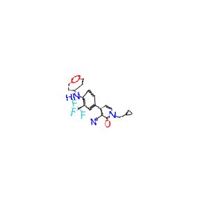 N#Cc1c(-c2ccc(NC3CCOCC3)c(C(F)(F)F)c2)ccn(CC2CC2)c1=O